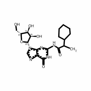 CC(C(=O)Nc1nc2c(ncn2[C@@H]2O[C@H](CO)[C@@H](O)[C@H]2O)c(=O)[nH]1)C1CCCCC1